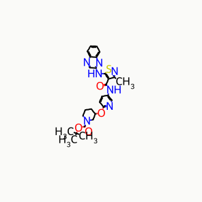 Cc1nsc(Nc2cnc3ccccc3n2)c1C(=O)Nc1ccc(OC2CCCN(C(=O)OC(C)(C)C)C2)nc1